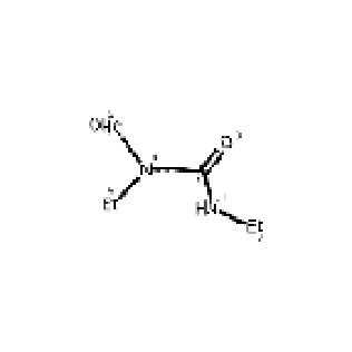 CCNC(=O)N(C=O)CC